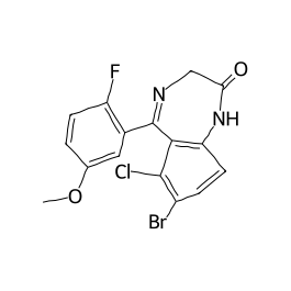 COc1ccc(F)c(C2=NCC(=O)Nc3ccc(Br)c(Cl)c32)c1